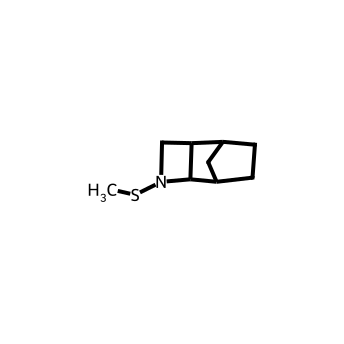 CSN1CC2C3CCC(C3)C21